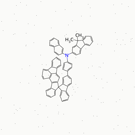 CC1(C)c2ccccc2-c2ccc(N(c3ccc(-c4ccc5c(c4)C4(c6ccccc6-5)c5ccccc5-c5c4cc4c6c(cccc56)-c5ccccc5-4)cc3)c3ccc4ccccc4c3)cc21